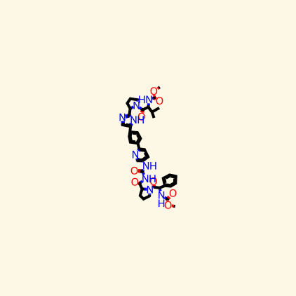 COC(=O)NC(C(=O)N1CCCC1C(=O)NC(=O)Nc1ccc(-c2ccc(-c3cnc(C4CCCN4C(=O)C(NC(=O)OC)C(C)C)[nH]3)cc2)nc1)c1ccccc1